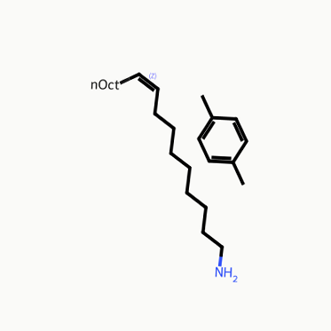 CCCCCCCC/C=C\CCCCCCCCN.Cc1ccc(C)cc1